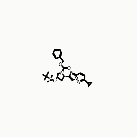 CC(C)(C)[Si](C)(C)OC1C[C@H](c2cn3nc(C4CC4)ccc3n2)N(C(=O)OCc2ccccc2)C1